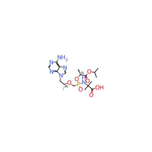 CC(C)OC(=O)[C@H](C)OP(=O)(CO[C@H](C)Cn1cnc2c(N)ncnc21)NC(C)(C)C(=O)O